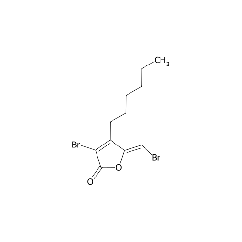 CCCCCCC1=C(Br)C(=O)OC1=CBr